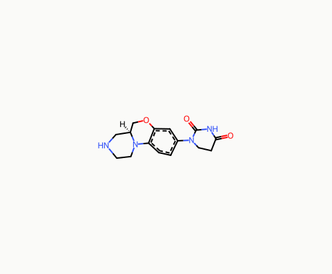 O=C1CCN(c2ccc3c(c2)OC[C@@H]2CNCCN32)C(=O)N1